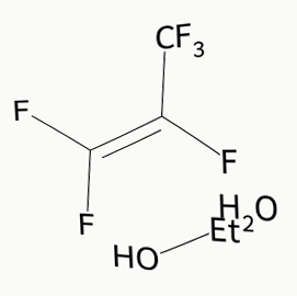 CCO.FC(F)=C(F)C(F)(F)F.O